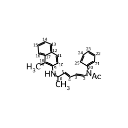 CC(=O)N(/C=C/C=C/C(C)Nc1ccc2ccccc2c1C)c1ccccc1